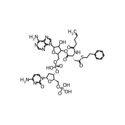 C=CCCC(=O)N[C@H](CC(=O)SCCc1ccccc1)C(=O)OC1C(COP(=O)(O)O[C@H]2C[C@H](n3ccc(N)nc3=O)O[C@@H]2COP(=O)(O)O)OC(n2cnc3c(N)ncnc32)C1O